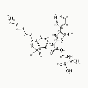 CCCCCCCCc1ccc(N(C(=O)OCNC(C)C(=O)O)c2nc(-c3cccnc3)c(F)s2)cc1C(F)(F)F